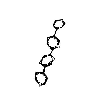 c1cc(-c2ccc(-c3ccc(-c4ccncc4)cn3)nc2)ccn1